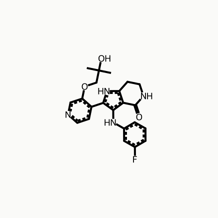 CC(C)(O)COc1cnccc1-c1[nH]c2c(c1Nc1cccc(F)c1)C(=O)NCC2